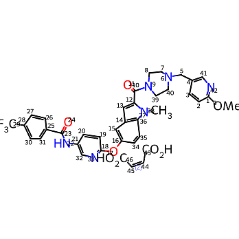 COc1ccc(CN2CCN(C(=O)c3cc4cc(Oc5ccc(NC(=O)c6ccc(C(F)(F)F)cc6)cn5)ccc4n3C)CC2)cn1.O=C(O)/C=C\C(=O)O